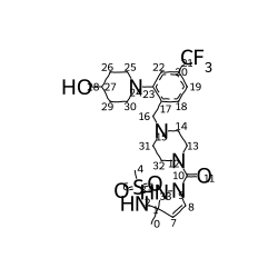 CC1(NS(C)(=O)=O)C=CN(C(=O)N2CCN(Cc3ccc(C(F)(F)F)cc3N3CCC(O)CC3)CC2)N1